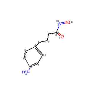 Nc1ccc(CCCC(=O)N=O)cc1